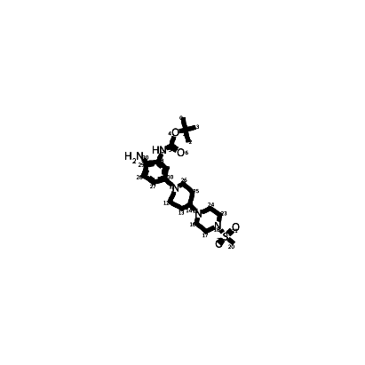 CC(C)(C)OC(=O)Nc1cc(N2CCC(N3CCN(S(C)(=O)=O)CC3)CC2)ccc1N